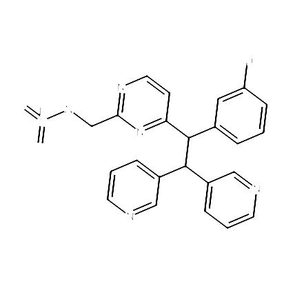 O=[SH](=O)NCc1nccc(C(c2cccc(Br)c2)C(c2cccnc2)c2cccnc2)n1